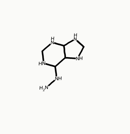 NNC1NCNC2NCNC12